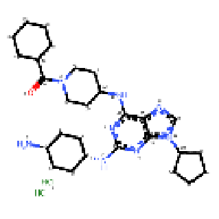 Cl.Cl.N[C@H]1CC[C@H](Nc2nc(NC3CCN(C(=O)C4CCCCC4)CC3)c3ncn(C4CCCC4)c3n2)CC1